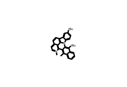 Cc1c2ccccc2c(C(C)(C)C)c2c1c1c3c(ccc4c5cc(C(C)(C)C)ccc5n2c43)cc[n+]1C